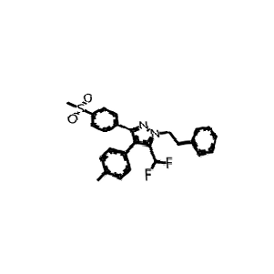 Cc1ccc(-c2c(-c3ccc(S(C)(=O)=O)cc3)nn(CCc3ccccc3)c2C(F)F)cc1